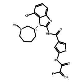 C=C(F)C(=O)Nc1cc(C(=O)Nc2nc3cccc(Cl)c3n2[C@@H]2CCCCN(C(C)=O)C2)cs1